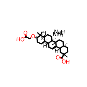 CC1(C)[C@@H](OCC(=O)O)CC[C@]2(C)[C@H]3CC=C4[C@@H]5C[C@@](C)(C(=O)O)CC[C@]5(C)CC[C@@]4(C)[C@]3(C)CC[C@@H]12.[NaH].[NaH]